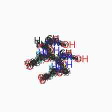 CC1(C)CN(C(=O)NCCCCO)CCN1Cc1cccc(C(=O)Nc2sc3c(c2C(=O)Nc2cc(F)c(CCc4ccc(C(=O)[O-])cc4)c(F)c2)CCCC3)c1.CC1(C)CN(C(=O)NCCCCO)CCN1Cc1cccc(C(=O)Nc2sc3c(c2C(=O)Nc2cc(F)c(CCc4ccc(C(=O)[O-])cc4)c(F)c2)CCCC3)c1.[Na+].[Na+]